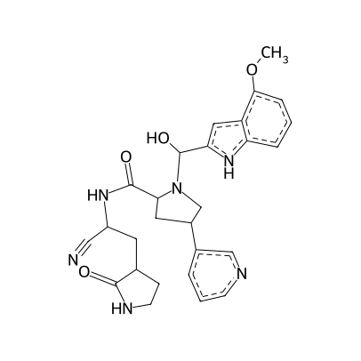 COc1cccc2[nH]c(C(O)N3CC(c4cccnc4)CC3C(=O)NC(C#N)CC3CCNC3=O)cc12